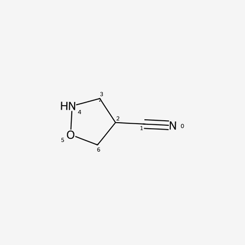 N#CC1[CH]NOC1